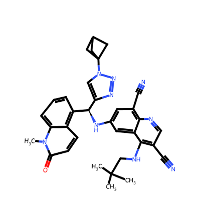 Cn1c(=O)ccc2c([C@H](Nc3cc(C#N)c4ncc(C#N)c(NCC(C)(C)C)c4c3)c3cn(C45CC(C4)C5)nn3)cccc21